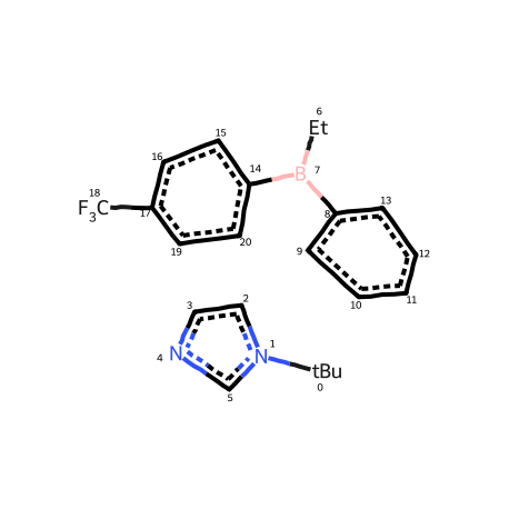 CC(C)(C)n1ccnc1.CCB(c1ccccc1)c1ccc(C(F)(F)F)cc1